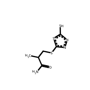 CC(CSc1nnc(S)s1)C(N)=O